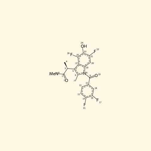 CNC(=O)[C@@H](C)c1c(C)n(C(=O)c2ccc(F)c(F)c2)c2cc(F)c(O)c(F)c12